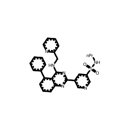 CCCNS(=O)(=O)c1cncc(-c2nc(NCc3ccccn3)c3c(-c4ccccc4)cccc3n2)c1